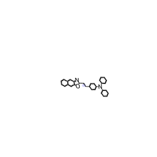 C(=C\c1nc2cc3ccccc3cc2o1)/c1ccc(N(c2ccccc2)c2ccccc2)cc1